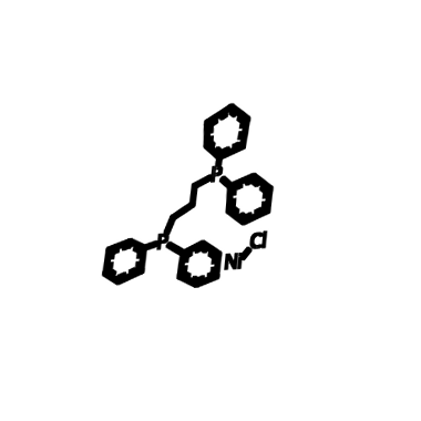 [Cl][Ni].c1ccc(P(CCCP(c2ccccc2)c2ccccc2)c2ccccc2)cc1